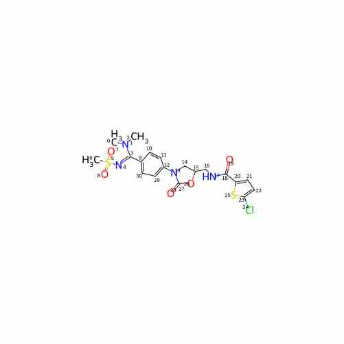 CN(C)C(=NS(C)(=O)=O)c1ccc(N2CC(CNC(=O)c3ccc(Cl)s3)OC2=O)cc1